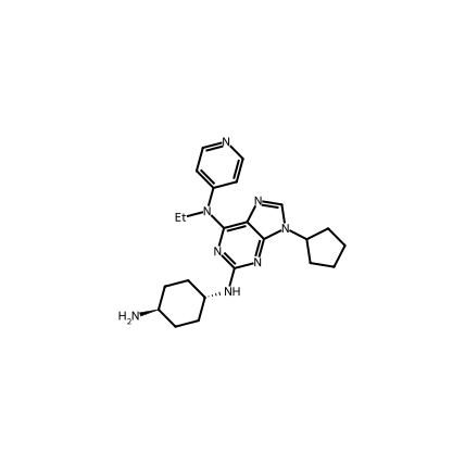 CCN(c1ccncc1)c1nc(N[C@H]2CC[C@H](N)CC2)nc2c1ncn2C1CCCC1